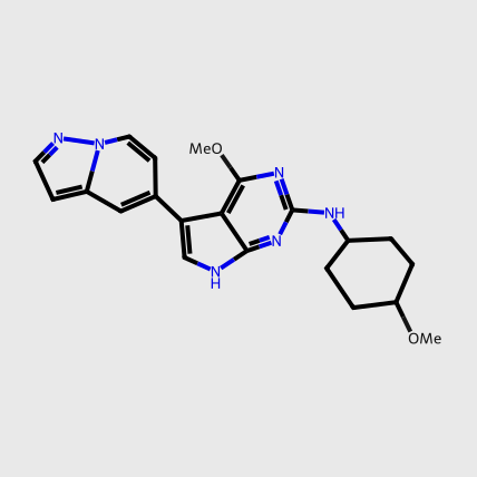 COc1nc(NC2CCC(OC)CC2)nc2[nH]cc(-c3ccn4nccc4c3)c12